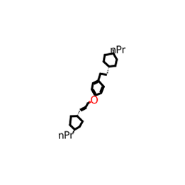 CCC[C@H]1CC[C@H](/C=C/COc2ccc(CC[C@H]3CC[C@H](CCC)CC3)cc2)CC1